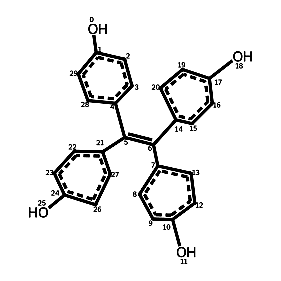 Oc1ccc(C(=C(c2ccc(O)cc2)c2ccc(O)cc2)c2ccc(O)cc2)cc1